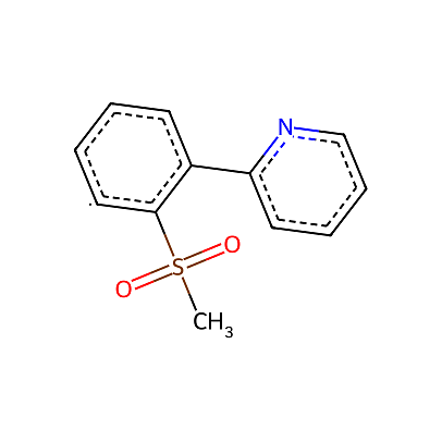 CS(=O)(=O)c1[c]cccc1-c1ccccn1